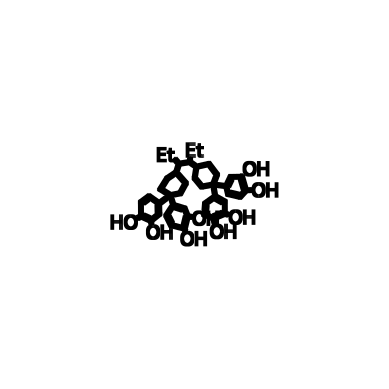 CCC(C1CCC(c2ccc(O)c(O)c2)(c2ccc(O)c(O)c2)CC1)C(CC)C1CCC(c2ccc(O)c(O)c2)(c2ccc(O)c(O)c2)CC1